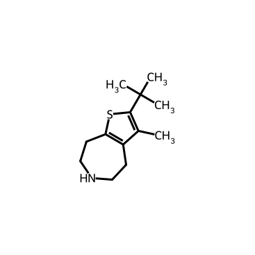 Cc1c(C(C)(C)C)sc2c1CCNCC2